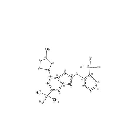 CC(C)(C)c1nc(N2CCC(O)C2)c2nn(Cc3ccccc3C(F)(F)F)nc2n1